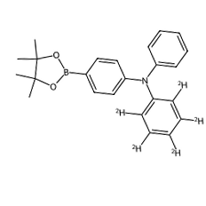 [2H]c1c([2H])c([2H])c(N(c2ccccc2)c2ccc(B3OC(C)(C)C(C)(C)O3)cc2)c([2H])c1[2H]